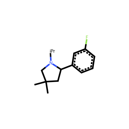 CC(C)N1CC(C)(C)CC1c1cccc(F)c1